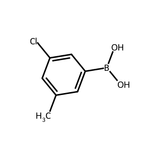 Cc1cc(Cl)cc(B(O)O)c1